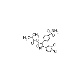 CC(C)C(=O)Oc1onc(-c2ccc(Cl)c(Cl)c2)c1-c1ccc(S(N)(=O)=O)cc1